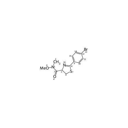 CON(C)C(=O)C1CSC(c2ccc(Br)cc2)=N1